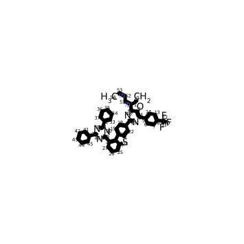 C=c1oc2c(-c3ccc(C(F)(F)F)cc3)nc(-c3ccc4c(c3)sc3cccc(-c5nc(-c6ccccc6)nc(-c6ccccc6)n5)c34)nc2/c1=C/C=C\C